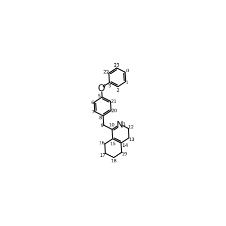 c1ccc(Oc2ccc(CC3=NCCC4=C3CCCC4)cc2)cc1